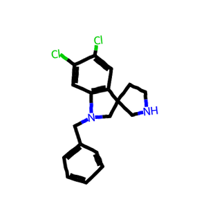 Clc1cc2c(cc1Cl)C1(CCNC1)CN2Cc1ccccc1